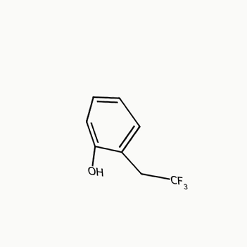 Oc1ccccc1CC(F)(F)F